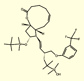 CC(C)(C[C@H](/C=C/[C@@H]1[C@H]2C/C=C\CCCC(=O)O[C@H]2C[C@H]1O[Si](C)(C)C(C)(C)C)COc1cccc(C(F)(F)F)c1)[Si](C)(C)O